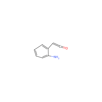 Nc1ccccc1C=C=O